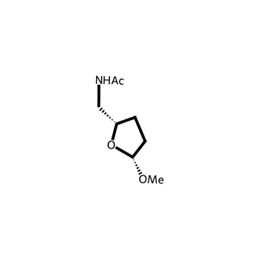 CO[C@H]1CC[C@@H](CNC(C)=O)O1